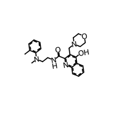 Cc1ccccc1N(C)CCNC(=O)c1nc2ccccc2c(O)c1CN1CCOCC1